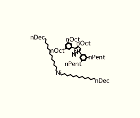 CCCCCCCCC1=C(c2cc(CCCCCCCC)cc(CCCCCCCC)c2)[N+](=[N-])C(c2cc(CCCCC)cc(CCCCC)c2)=C1.CCCCCCCCCCCCCCCCCCCCC[CH2][Ni][CH2]CCCCCCCCCCCCCCCCCCCCC